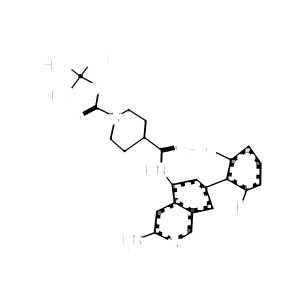 Cc1cccc(F)c1-c1cc(NC(=O)C2CCN(C(=O)OC(C)(C)C)CC2)c2cc(N)ncc2c1